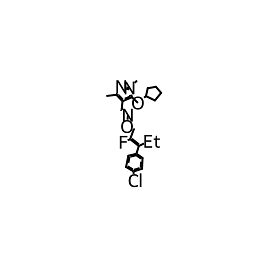 CCC(=C(F)CON=Cc1c(C)nn(C)c1OC1CCCC1)c1ccc(Cl)cc1